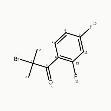 CC(C)(Br)C(=O)c1ccc(F)cc1F